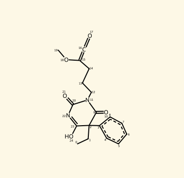 CCC1(c2ccccc2)C(=O)N(CCCC(=C=O)OC)C(=O)N=C1O